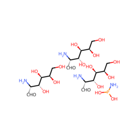 NP(O)O.N[C@@H](C=O)[C@@H](O)[C@@H](O)[C@H](O)CO.N[C@@H](C=O)[C@@H](O)[C@@H](O)[C@H](O)CO.N[C@@H](C=O)[C@@H](O)[C@@H](O)[C@H](O)CO